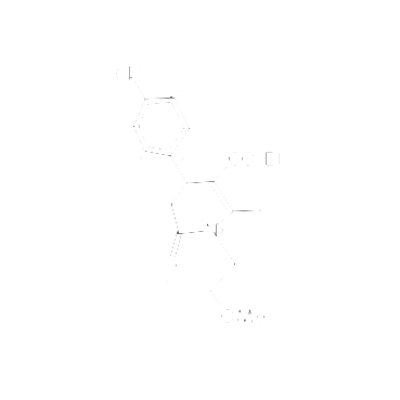 CCOC(=O)C1=C(C)N(CCOC)C(=O)CC1c1ccc(Cl)cc1